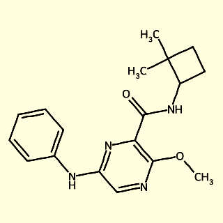 COc1ncc(Nc2ccccc2)nc1C(=O)NC1CCC1(C)C